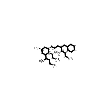 CCCC(C)C1C[C@@H](C)C[C@@H](C[C@@H](O)CC(CC2CCCCC2)[C@H](O)CCC)[C@H]1CCC